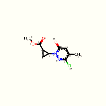 COC(=O)C1CC1n1nc(Cl)c(C)cc1=O